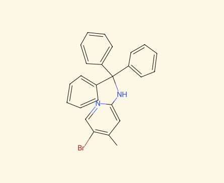 Cc1cc(NC(c2ccccc2)(c2ccccc2)c2ccccc2)ncc1Br